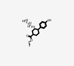 CCCc1ccc(C2CCC(C(=O)OSF)CC2)cc1.F.F.F.F.F